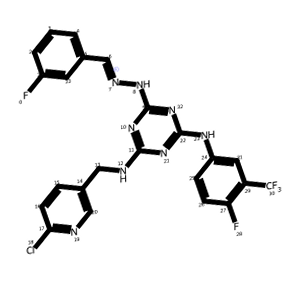 Fc1cccc(/C=N/Nc2nc(NCc3ccc(Cl)nc3)nc(Nc3ccc(F)c(C(F)(F)F)c3)n2)c1